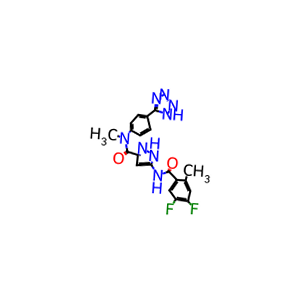 Cc1cc(F)c(F)cc1C(=O)Nc1cc(C(=O)N(C)c2ccc(-c3nnn[nH]3)cc2)n[nH]1